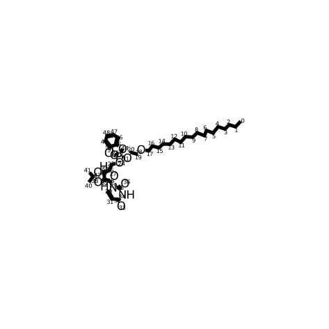 CCCCCCCCCCCCCCCCCCOCCOP(=O)(OCC1OC(n2ccc(=O)[nH]c2=O)[C@@H]2OC(C)(C)O[C@H]12)Oc1ccccc1Cl